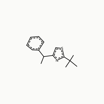 CC(c1ccccc1)c1csc(C(C)(C)C)n1